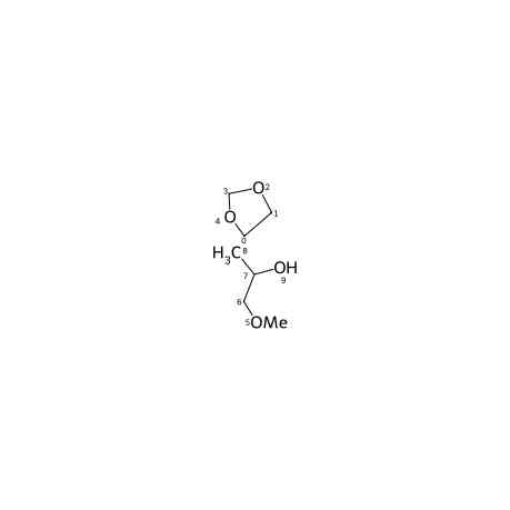 C1COCO1.COCC(C)O